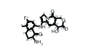 Cc1c(F)cc(NC2=CCn3c2cc2c(c3=O)COC(=O)C2O)c2c1CCC(N)C2=O